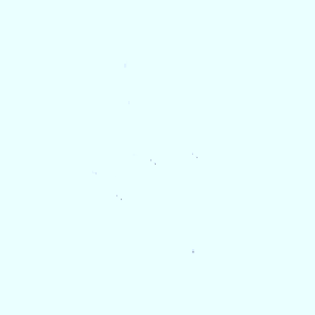 Cc1cnc2n1-c1ccc(Br)cc1C(c1ccccn1)=N[C@H]2CCC(=O)OC(C)C